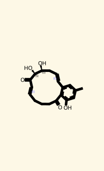 Cc1cc(O)c2c(c1)/C=C/C[C@H](O)[C@H](O)C(=O)/C=C/CCCC2=O